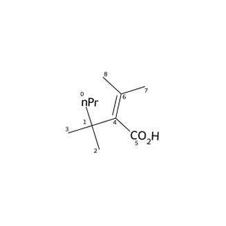 CCCC(C)(C)C(C(=O)O)=C(C)C